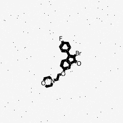 O=C1C(Br)=C(c2ccc(F)cc2)c2ccc(OCCN3CCOCC3)cc21